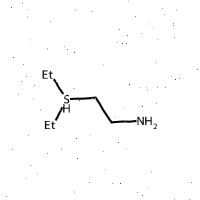 CC[SH](CC)CCN